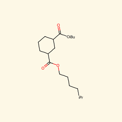 CC(C)CCCCOC(=O)C1CCCC(C(=O)OCC(C)C)C1